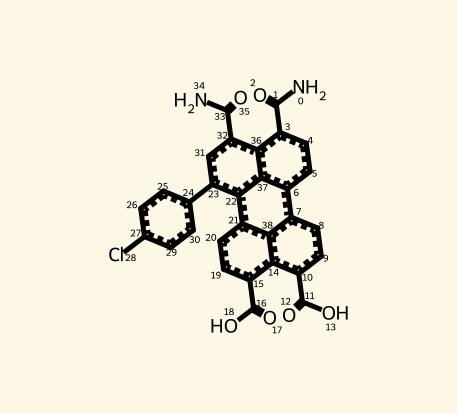 NC(=O)c1ccc2c3ccc(C(=O)O)c4c(C(=O)O)ccc(c5c(-c6ccc(Cl)cc6)cc(C(N)=O)c1c25)c43